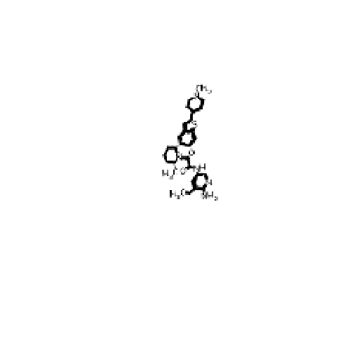 CCc1cc(NC(=O)C(=O)N2[C@@H](c3ccc4sc(C5CCN(C)CC5)cc4c3)CCC[C@@H]2C)cnc1N